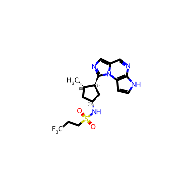 C[C@H]1C[C@@H](NS(=O)(=O)CCC(F)(F)F)C[C@@H]1c1ncc2cnc3[nH]ccc3n12